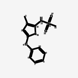 Cc1cc(Oc2ccccc2)sc1NS(C)(=O)=O